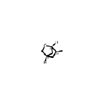 C[C@H]1C[C@@H]2CO[C@H]1C2